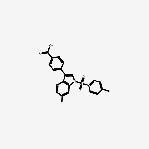 Cc1ccc(S(=O)(=O)n2cc(-c3ccc(C(=O)O)cc3)c3ccc(F)cc32)cc1